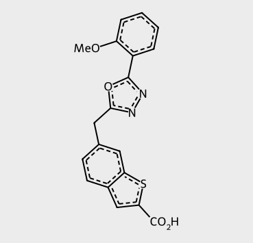 COc1ccccc1-c1nnc(Cc2ccc3cc(C(=O)O)sc3c2)o1